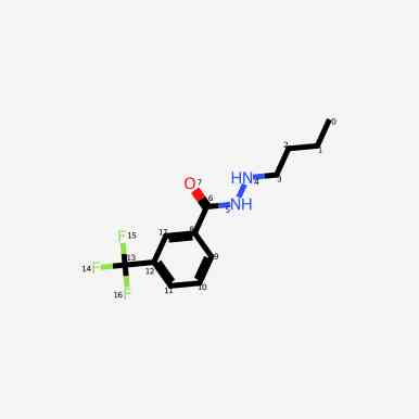 CCCCNNC(=O)c1cccc(C(F)(F)F)c1